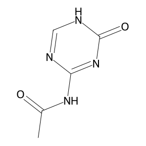 CC(=O)Nc1nc[nH]c(=O)n1